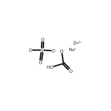 O=C([O-])O.O=S(=O)([O-])[O-].[Na+].[Zn+2]